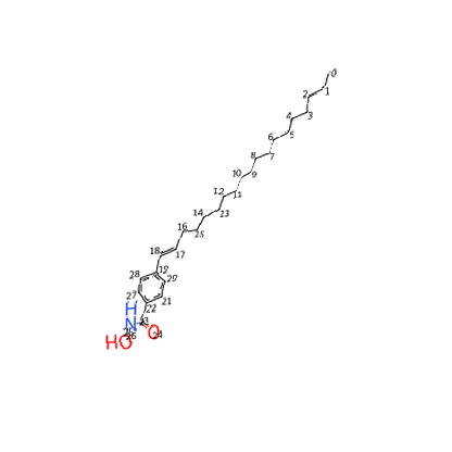 CCCCCCCCCCCCCCCCC/C=C/c1ccc(C(=O)NO)cc1